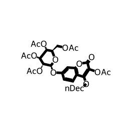 CCCCCCCCCCOc1c(OC(C)=O)c(=O)oc2cc(O[C@@H]3O[C@H](COC(C)=O)[C@H](OC(C)=O)[C@H](OC(C)=O)[C@H]3OC(C)=O)ccc12